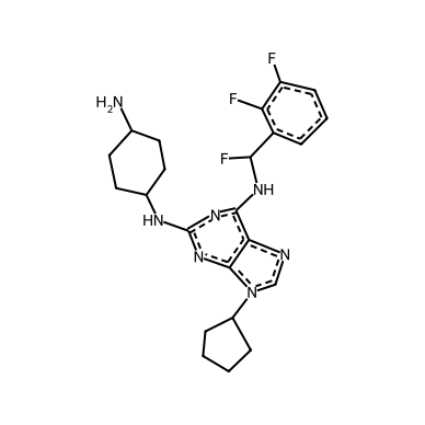 NC1CCC(Nc2nc(NC(F)c3cccc(F)c3F)c3ncn(C4CCCC4)c3n2)CC1